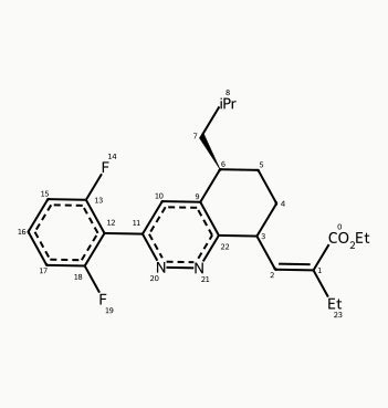 CCOC(=O)/C(=C\C1CC[C@H](CC(C)C)c2cc(-c3c(F)cccc3F)nnc21)CC